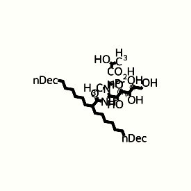 CC(O)C(=O)O.CCCCCCCCCCCCCCCCC(CCCCCCCCCCCCCCCC)C(=O)NC([C@H](O)[C@@H](O)[C@H](O)[C@H](O)CO)N(C)CCC